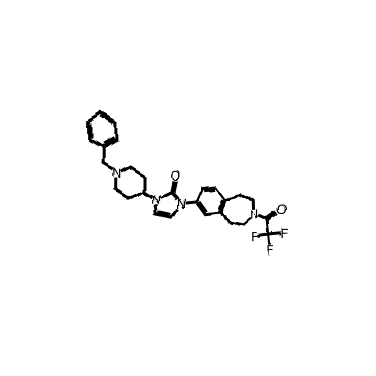 O=C(N1CCc2ccc(-n3ccn(C4CCN(Cc5ccccc5)CC4)c3=O)cc2CC1)C(F)(F)F